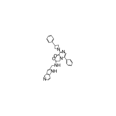 O=C(Cn1c(-c2ccccc2)cnc(N2CC(c3ccccc3)C2)c1=O)NCc1cc2cnccc2[nH]1